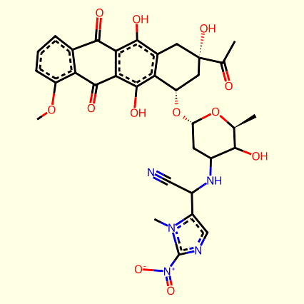 COc1cccc2c1C(=O)c1c(O)c3c(c(O)c1C2=O)C[C@@](O)(C(C)=O)C[C@@H]3O[C@H]1CC(NC(C#N)c2cnc([N+](=O)[O-])n2C)C(O)[C@H](C)O1